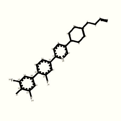 C=CCCC1CCC(c2ccc(-c3ccc(-c4cc(F)c(C)c(F)c4)c(F)c3)nc2)CC1